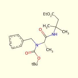 CCOC(=O)CC(C)(C)NC(=O)[C@H](C)N(Cc1ccccc1)C(=O)OC(C)(C)C